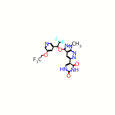 Cn1nc(O[C@@H](c2cncc(OCC(F)(F)F)c2)C(F)F)c2cc(-c3c[nH]c(=O)[nH]c3=O)nnc21